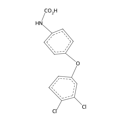 O=C(O)Nc1ccc(Oc2ccc(Cl)c(Cl)c2)cc1